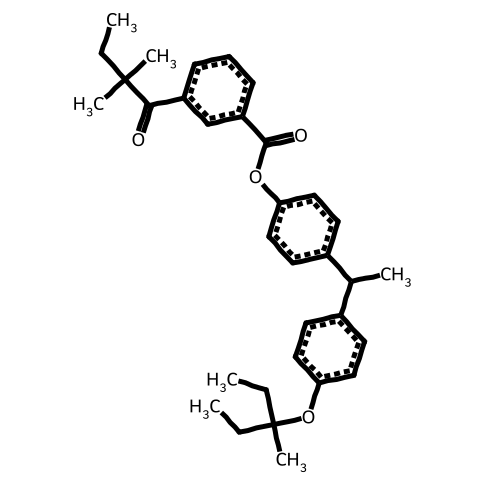 CCC(C)(CC)Oc1ccc(C(C)c2ccc(OC(=O)c3cccc(C(=O)C(C)(C)CC)c3)cc2)cc1